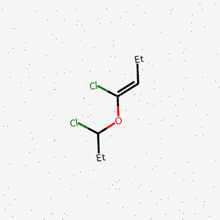 CCC=C(Cl)OC(Cl)CC